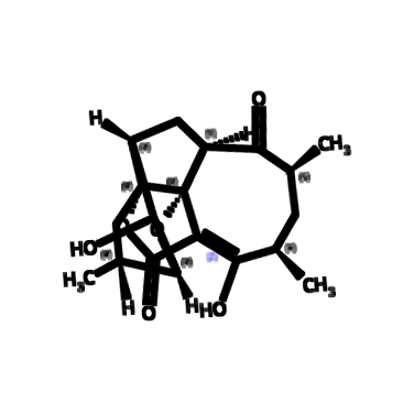 C[C@@H]1C[C@H](C)C(=O)[C@@H]2C[C@@H]3C(O)[C@@H]4O[C@@]25/C(=C\1O)C(=O)O[C@]35C[C@H]4C